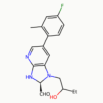 CCC(O)CN1c2cc(-c3ccc(F)cc3C)cnc2N[C@@H]1C=O